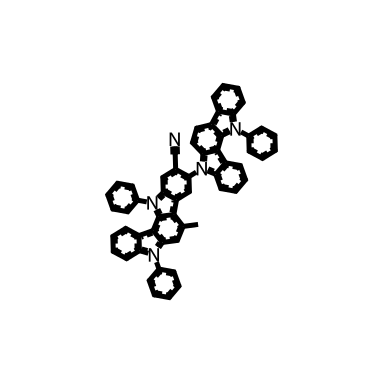 Cc1cc2c(c3ccccc3n2-c2ccccc2)c2c1c1cc(-n3c4ccccc4c4c3ccc3c5ccccc5n(-c5ccccc5)c34)c(C#N)cc1n2-c1ccccc1